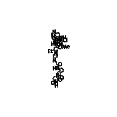 CCc1cc(Nc2ncc(Cl)c(Nc3ccc4nccnc4c3NS(C)(=O)=O)n2)c(OC)cc1N1CCC(N(C)CCC(=O)Nc2cccc3c2CN(C2CCC(=O)NC2=O)C3=O)CC1